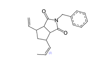 C=CC1CC(/C=C\C)C2C(=O)N(Cc3ccccc3)C(=O)C12